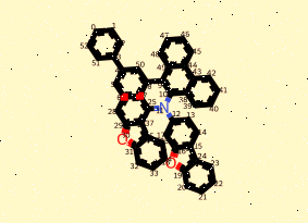 c1ccc(-c2cccc(-c3c(N(c4ccc5c(c4)oc4ccccc45)c4cccc5oc6ccccc6c45)c4ccccc4c4ccccc34)c2)cc1